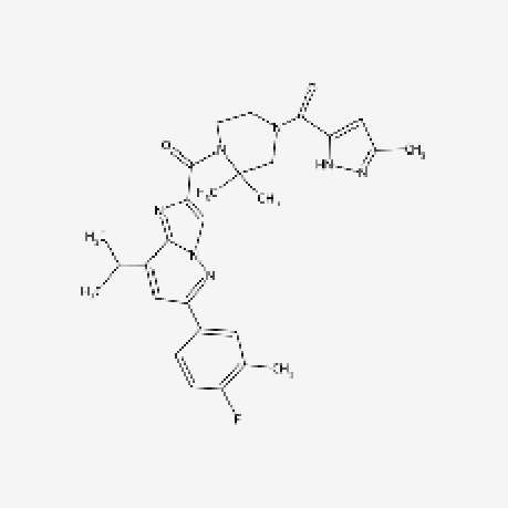 Cc1cc(C(=O)N2CCN(C(=O)c3cn4nc(-c5ccc(F)c(C)c5)cc(C(C)C)c4n3)C(C)(C)C2)[nH]n1